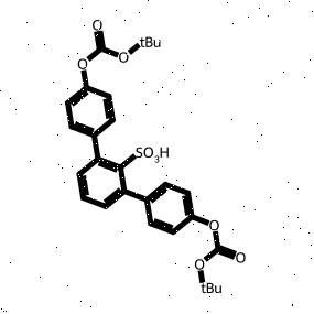 CC(C)(C)OC(=O)Oc1ccc(-c2cccc(-c3ccc(OC(=O)OC(C)(C)C)cc3)c2S(=O)(=O)O)cc1